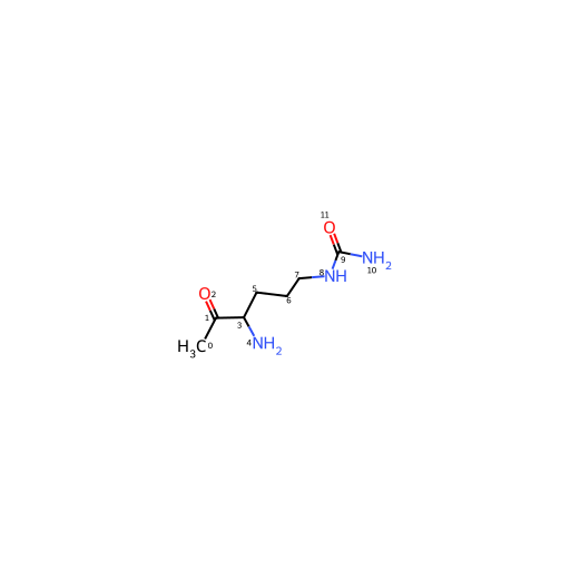 CC(=O)C(N)CCCNC(N)=O